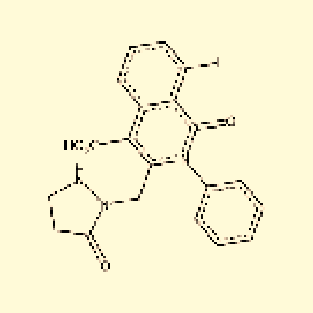 O=C(O)c1c(CN2NCCC2=O)n(-c2ccccc2)c(=O)c2c(F)cccc12